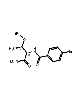 COC(=O)[C@@H](NC(=O)c1ccc(Br)cc1)[C@@H](C)OC(C)(C)C